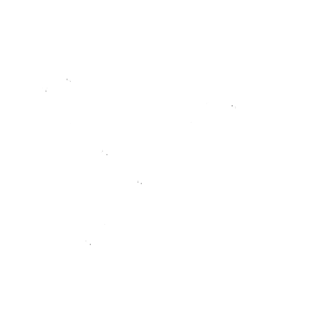 CCCNC(=O)c1ccc(Nc2nc(-c3c[nH]nc3C)cc3cc[nH]c(=O)c23)cc1